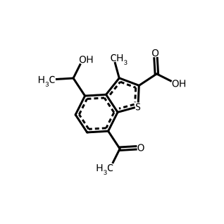 CC(=O)c1ccc(C(C)O)c2c(C)c(C(=O)O)sc12